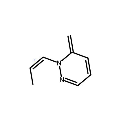 C=C1C=CC=NN1/C=C\C